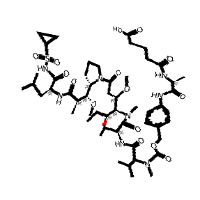 CC[C@H](C)[C@@H]([C@@H](CC(=O)N1CCC[C@H]1[C@H](OC)[C@@H](C)C(=O)N[C@@H](CC(C)C)C(=O)NS(=O)(=O)C1CC1)OC)N(C)C(=O)[C@@H](NC(=O)C(C(C)C)N(C)C(=O)OCc1ccc(NC(=O)[C@H](C)NC(=O)CCCC(=O)O)cc1)C(C)C